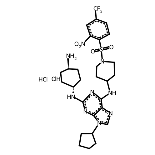 Cl.Cl.N[C@H]1CC[C@H](Nc2nc(NC3CCN(S(=O)(=O)c4ccc(C(F)(F)F)cc4[N+](=O)[O-])CC3)c3ncn(C4CCCC4)c3n2)CC1